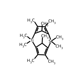 CC1=C2C(C)[C](=C1C)[Ti]([CH3])([CH3])[C]1=C(C)C(C)=C(C1C)[Si]2(C)C